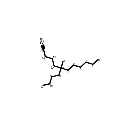 CCCCCCC(C)(CCCC)CCCC#N